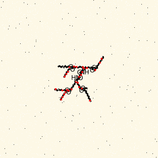 CCCCCCCCCCC(CC)OC(=O)CCCCCN(CCCCCCCC(=O)OC(CCCCCCCC)CCCCCCCC)CCNC(=O)CCC(=O)NCCN(CCCCCCC(C)(C)C(=O)OC(CCCCCCCC)CCCCCCCC)CCCCC(C)(C)C(=O)OC(CC)CCCCCCCCCC